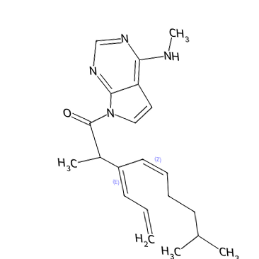 C=C/C=C(\C=C/CCC(C)C)C(C)C(=O)n1ccc2c(NC)ncnc21